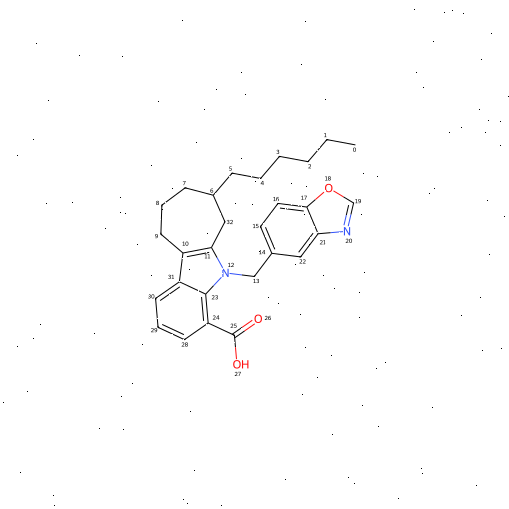 CCCCCCC1CCCc2c(n(Cc3ccc4ocnc4c3)c3c(C(=O)O)cccc23)C1